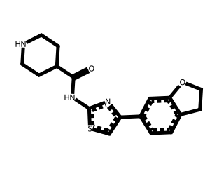 O=C(Nc1nc(-c2ccc3c(c2)OCC3)cs1)C1CCNCC1